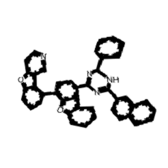 c1ccc(C2N=C(c3ccc(-c4cccc5oc6ccncc6c45)c4oc5ccccc5c34)N=C(c3ccc4ccccc4c3)N2)cc1